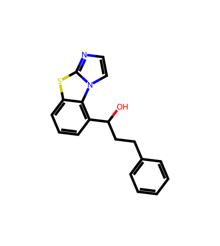 OC(CCc1ccccc1)c1cccc2sc3nccn3c12